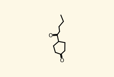 CCCCC(=O)C1CCC(=O)CC1